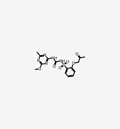 COc1nc(C)nc(NC(=O)NS(=O)(=O)c2ccccc2OCC(C)=O)n1